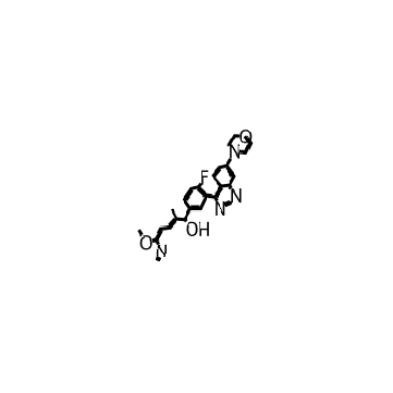 C=N/C(=C\C=C(/C)C(O)c1ccc(F)c(-c2ncnc3cc(N4CCOCC4)ccc23)c1)OC